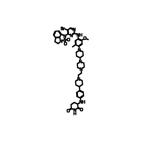 COc1cc(N2CCC(N3CCN(CCN4CCC(c5ccc(NC6CCC(=O)NC6=O)cc5)CC4)CC3)CC2)c(C)cc1Nc1ncc(Br)c(N2c3cccc4c3N(CC4)S2(=O)=O)n1